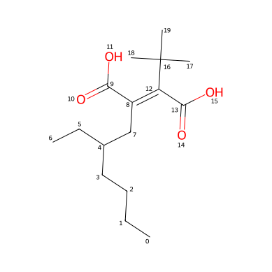 CCCCC(CC)CC(C(=O)O)=C(C(=O)O)C(C)(C)C